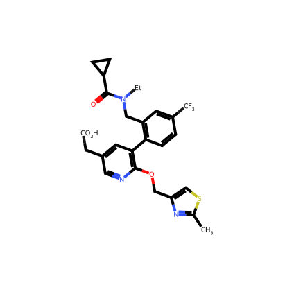 CCN(Cc1cc(C(F)(F)F)ccc1-c1cc(CC(=O)O)cnc1OCc1csc(C)n1)C(=O)C1CC1